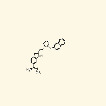 CN=C(N)c1ccc2cc(CC[C@@H]3CCCN3Cc3ccc4ccccc4c3)[nH]c2c1